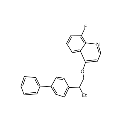 CCC(COc1ccnc2c(F)cccc12)c1ccc(-c2ccccc2)cc1